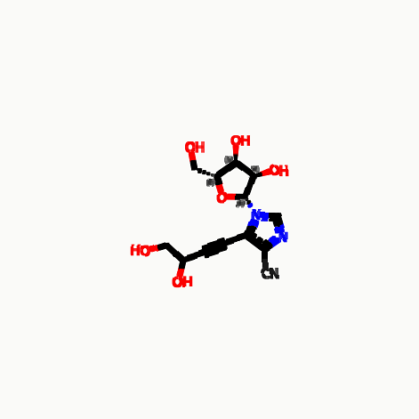 N#Cc1ncn([C@@H]2O[C@H](CO)[C@@H](O)[C@H]2O)c1C#CC(O)CO